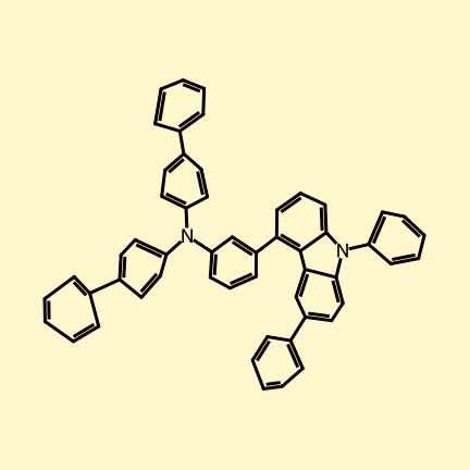 c1ccc(-c2ccc(N(c3ccc(-c4ccccc4)cc3)c3cccc(-c4cccc5c4c4cc(-c6ccccc6)ccc4n5-c4ccccc4)c3)cc2)cc1